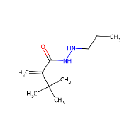 C=C(C(=O)NNCCC)C(C)(C)C